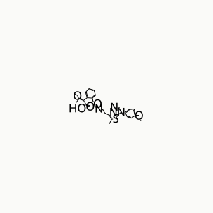 COC(C)=C(C(=O)O)c1ccccc1CON=CCC1=C(C)SC2N1N=CN2c1ccc(OC)cc1